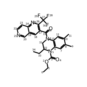 CCOC(=O)N1c2cc(C)c(C)cc2N(C(=O)c2cc3cnccc3nc2C(F)(F)F)CC1CC